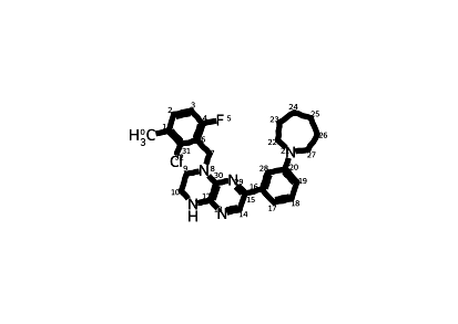 Cc1ccc(F)c(CN2CCNc3ncc(-c4cccc(N5CCCCCC5)c4)nc32)c1Cl